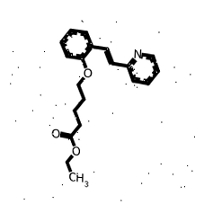 CCOC(=O)CCCCOc1ccccc1C=Cc1ccccn1